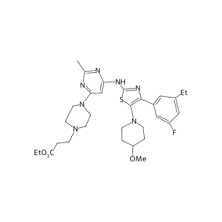 CCOC(=O)CCN1CCN(c2cc(Nc3nc(-c4cc(F)cc(CC)c4)c(N4CCC(OC)CC4)s3)nc(C)n2)CC1